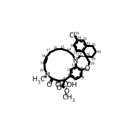 COC(=O)[C@]1(O)c2ccc3c(c2)N(CCCCC/C=C\CN(C)C(=O)[C@@H]1C)C[C@@]1(CCCc2cc(Cl)ccc21)CO3